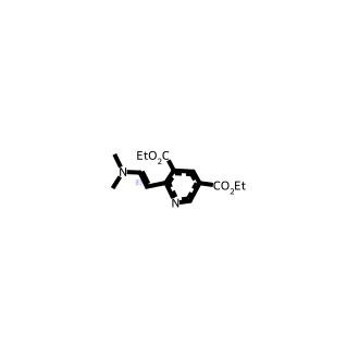 CCOC(=O)c1cnc(/C=C/N(C)C)c(C(=O)OCC)c1